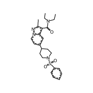 CCN(CC)C(=O)c1c(C)nn2ccc(C3CCN(S(=O)(=O)c4ccccc4)CC3)cc12